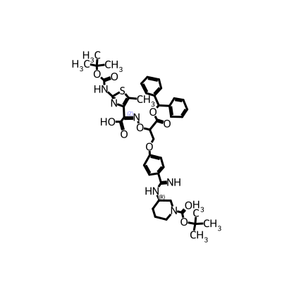 Cc1sc(NC(=O)OC(C)(C)C)nc1/C(=N/OC(COc1ccc(C(=N)N[C@@H]2CCCN(C(=O)OC(C)(C)C)C2)cc1)C(=O)OC(c1ccccc1)c1ccccc1)C(=O)O